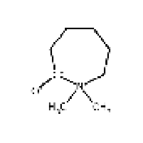 C[N+]1(C)CCCCC[C+]1[O-]